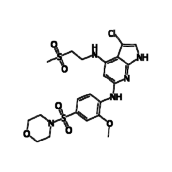 COc1cc(S(=O)(=O)N2CCOCC2)ccc1Nc1cc(NCCS(C)(=O)=O)c2c(Cl)c[nH]c2n1